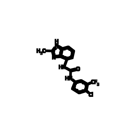 Cc1nc2c(NC(=O)Nc3ccc(Cl)c(C(F)(F)F)c3)cccc2[nH]1